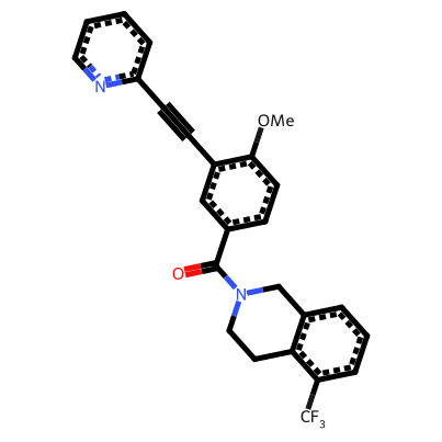 COc1ccc(C(=O)N2CCc3c(cccc3C(F)(F)F)C2)cc1C#Cc1ccccn1